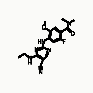 CCNc1nc(Nc2cc(F)c(C(=O)N(C)C)cc2OC)ncc1C#N